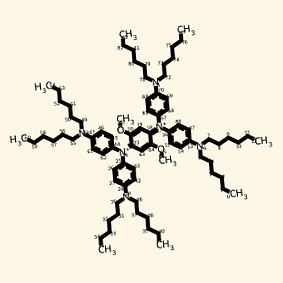 CCCCCCN(CCCCCC)c1ccc([N+](=C2C=C(OC)C(=[N+](c3ccc(N(CCCCCC)CCCCCC)cc3)c3ccc(N(CCCCCC)CCCCCC)cc3)C=C2OC)c2ccc(N(CCCCCC)CCCCCC)cc2)cc1